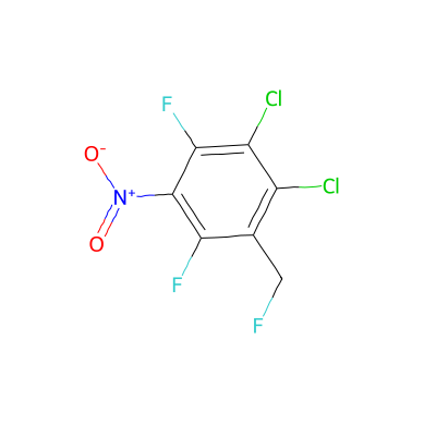 O=[N+]([O-])c1c(F)c(Cl)c(Cl)c(CF)c1F